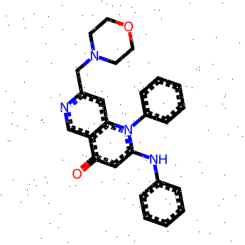 O=c1cc(Nc2ccccc2)n(-c2ccccc2)c2cc(CN3CCOCC3)ncc12